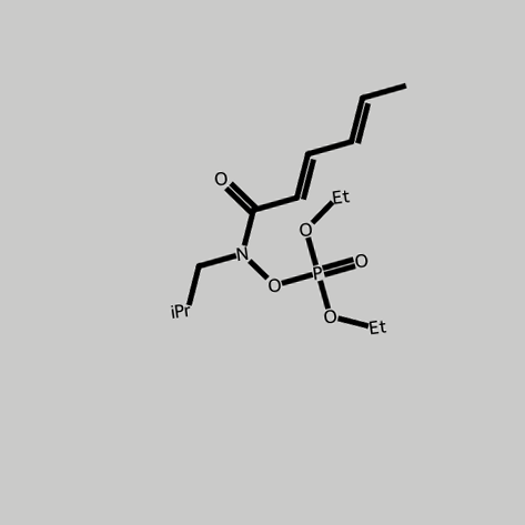 CC=CC=CC(=O)N(CC(C)C)OP(=O)(OCC)OCC